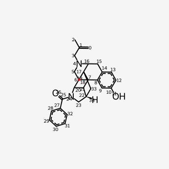 C=C(C)CN1CCC23c4cc(O)ccc4CC1C21CCC2C3[C@@H](CN2C(=O)c2ccccc2)C1